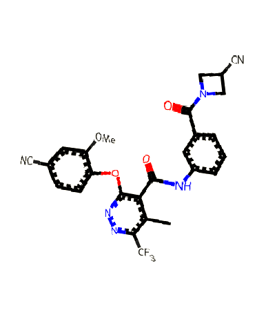 COc1cc(C#N)ccc1Oc1nnc(C(F)(F)F)c(C)c1C(=O)Nc1cccc(C(=O)N2CC(C#N)C2)c1